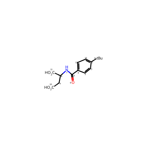 CC(C)(C)c1ccc(C(=O)NC(CC(=O)O)C(=O)O)cc1